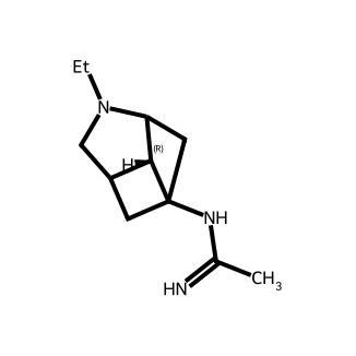 CCN1CC2CC3(NC(C)=N)CC1[C@@H]23